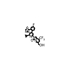 Cn1cnnc1-c1cc(F)ccc1-c1cc(C2CC2)nc(-n2cc3c(C(F)(F)F)cc(CO)cn3c2=O)c1